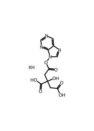 O=C(O)CC(O)(CC(=O)On1cnc2cncnc21)C(=O)O.[KH]